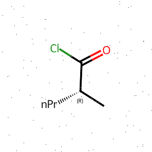 CCC[C@@H](C)C(=O)Cl